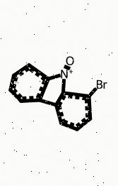 O=[N+]1c2ccccc2-c2cccc(Br)c21